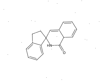 O=C1NC2([CH]Cc3ccccc32)C=C2C=CC=CC12